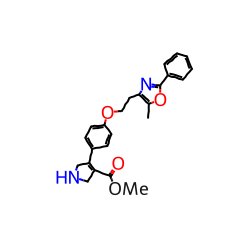 COC(=O)C1=C(c2ccc(OCCc3nc(-c4ccccc4)oc3C)cc2)CNC1